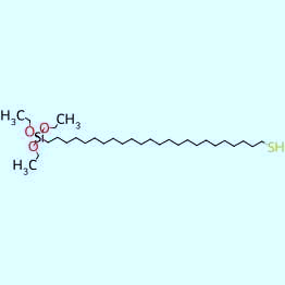 CCO[Si](CCCCCCCCCCCCCCCCCCCCCCCCS)(OCC)OCC